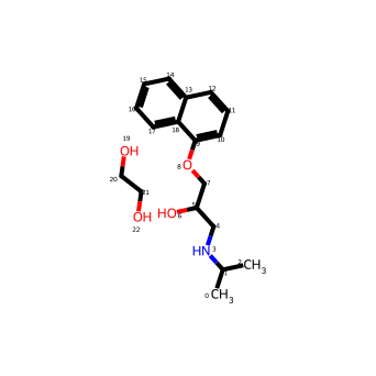 CC(C)NCC(O)COc1cccc2ccccc12.OCCO